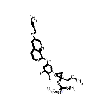 CC#CCOc1cnc2c(Nc3cc(F)c(F)c([C@@H]4C[C@]4(COC)S/C(N)=N\C)c3)nccc2c1